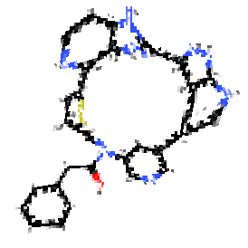 O=C(Cc1ccccc1)n1c2cncc(c2)c2cnc3[nH]nc(c4nc5c(ccnc5c5ccc1s5)[nH]4)c3c2